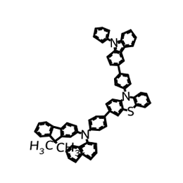 CC1(C)c2ccccc2-c2ccc(N(c3ccc(-c4ccc5c(c4)Sc4ccccc4N5c4ccc(-c5ccc6c(c5)c5ccccc5n6-c5ccccc5)cc4)cc3)c3cccc4ccccc34)cc21